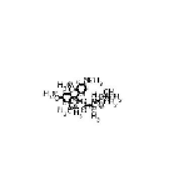 COc1ccc(C(c2ccc(OC)cc2OC)[C@H](C)OC(=O)[C@H](C)NC(=O)OC(C)(C)C)c(OC)c1